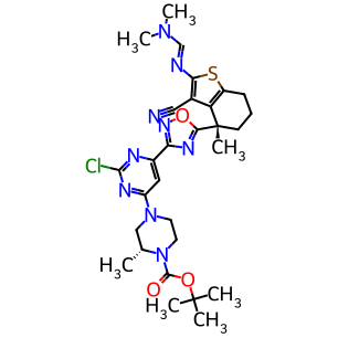 C[C@@H]1CN(c2cc(-c3noc([C@@]4(C)CCCc5sc(/N=C/N(C)C)c(C#N)c54)n3)nc(Cl)n2)CCN1C(=O)OC(C)(C)C